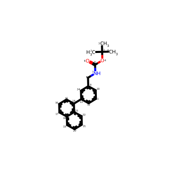 CC(C)(C)OC(=O)NCc1cccc(-c2cccc3ccccc23)c1